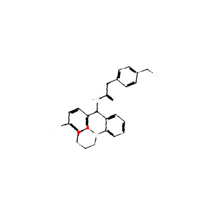 Cc1ccc(C(NC(=O)Cc2ccc(CO)cc2)c2ccccc2N2CCCCC2)cc1